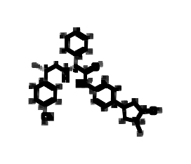 C[C@H](CN[C@@H](C(=O)Nc1ccc(C2CC(=O)N(C)C2)cn1)c1ccccc1)c1ccc(C#N)cc1